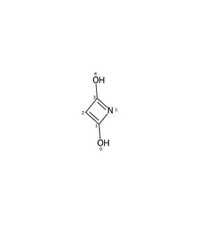 OC1=CC(O)=N1